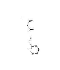 CC(=O)CC(=O)OCCc1ccccn1